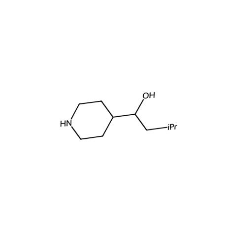 CC(C)CC(O)C1CCNCC1